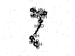 CC(C)(C)OC(=O)[C@@H]1C2CCC[C@H]2CN1C(=O)[C@@H](NC(=O)[C@@H](NC(=O)c1cnc(C(=O)NCCCCCCNc2cccc3c2CN(C2CCC(=O)NC2=O)C3=O)cn1)C1CCCCC1)C(C)(C)C